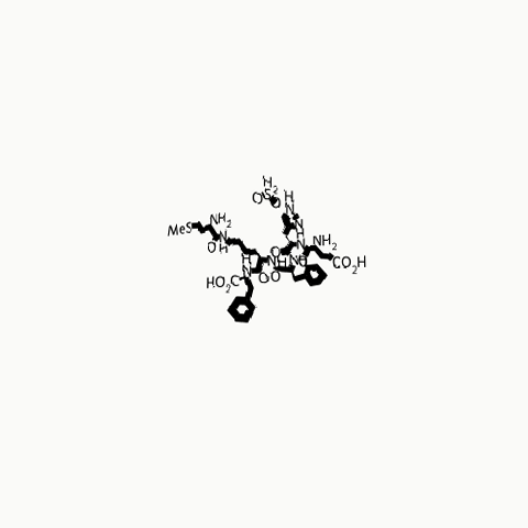 CSCC[C@H](N)C(=O)NCCCC[C@@H](NC(=O)[C@H](Cc1ccccc1)NC(=O)[C@H](Cc1c[nH]cn1)NC(=O)[C@@H](N)CCC(=O)O)C(=O)N[C@@H](Cc1ccccc1)C(=O)O.O=[SH2]=O